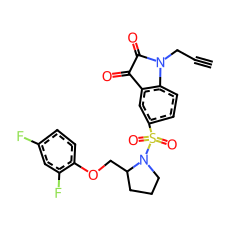 C#CCN1C(=O)C(=O)c2cc(S(=O)(=O)N3CCCC3COc3ccc(F)cc3F)ccc21